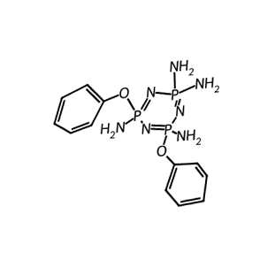 NP1(N)=NP(N)(Oc2ccccc2)=NP(N)(Oc2ccccc2)=N1